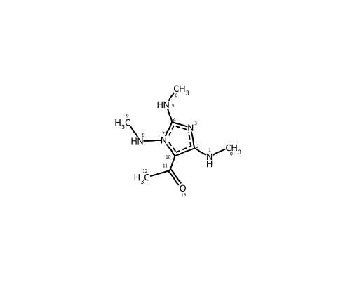 CNc1nc(NC)n(NC)c1C(C)=O